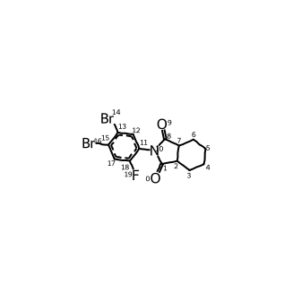 O=C1C2CCCCC2C(=O)N1c1cc(Br)c(Br)cc1F